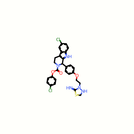 N=C1SCNN1CCOc1ccc(C2c3[nH]c4ccc(Cl)cc4c3CCN2C(=O)Oc2ccc(Cl)cc2)cc1